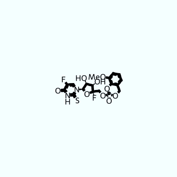 COc1cccc2c1OP(=O)(OC[C@@]1(F)O[C@@H](n3cc(F)c(=O)[nH]c3=S)[C@H](O)[C@@H]1O)OC2